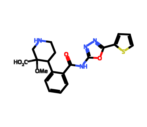 COC1(C(=O)O)CNCCC1c1ccccc1C(=O)Nc1nnc(-c2cccs2)o1